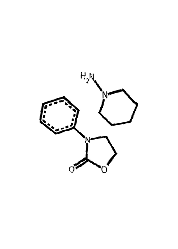 NN1CCCCC1.O=C1OCCN1c1ccccc1